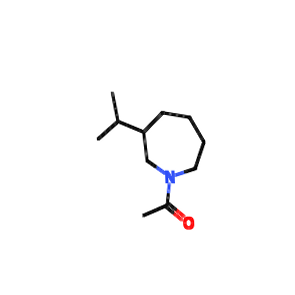 CC(=O)N1CCCCC(C(C)C)C1